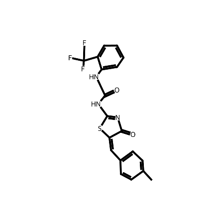 Cc1ccc(C=C2SC(NC(=O)Nc3ccccc3C(F)(F)F)=NC2=O)cc1